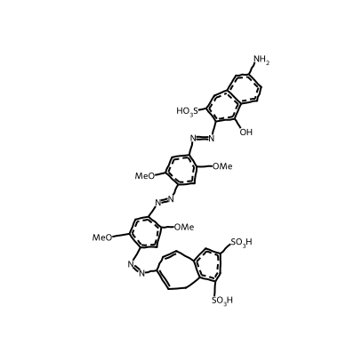 COc1cc(N=Nc2c(S(=O)(=O)O)cc3cc(N)ccc3c2O)c(OC)cc1N=Nc1cc(OC)c(/N=N\C2=CCc3c(cc(S(=O)(=O)O)cc3S(=O)(=O)O)C=C2)cc1OC